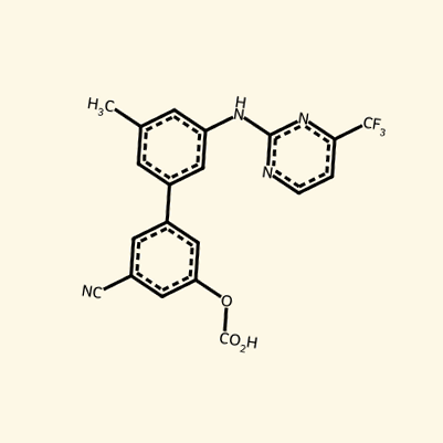 Cc1cc(Nc2nccc(C(F)(F)F)n2)cc(-c2cc(C#N)cc(OC(=O)O)c2)c1